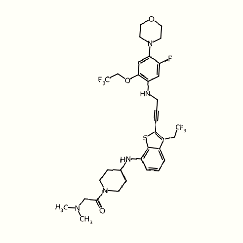 CN(C)CC(=O)N1CCC(Nc2cccc3c(CC(F)(F)F)c(C#CCNc4cc(F)c(N5CCOCC5)cc4OCC(F)(F)F)sc23)CC1